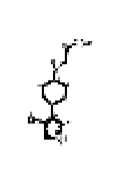 CCc1c[nH]nc1C1CCC(OCCOC)CC1